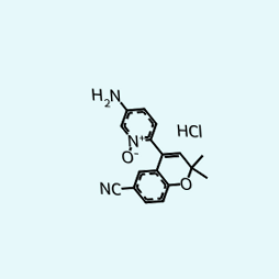 CC1(C)C=C(c2ccc(N)c[n+]2[O-])c2cc(C#N)ccc2O1.Cl